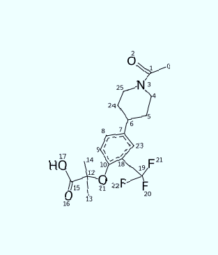 CC(=O)N1CCC(c2ccc(OC(C)(C)C(=O)O)c(C(F)(F)F)c2)CC1